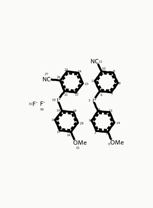 COc1ccc([I+]c2cccc(C#N)c2)cc1.COc1ccc([I+]c2ccccc2C#N)cc1.[F-].[F-]